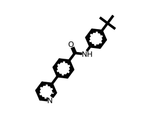 CC(C)(C)c1ccc(NC(=O)c2ccc(-c3cccnc3)cc2)cc1